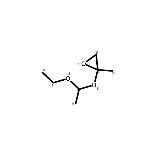 CCOC(C)OC1(C)CO1